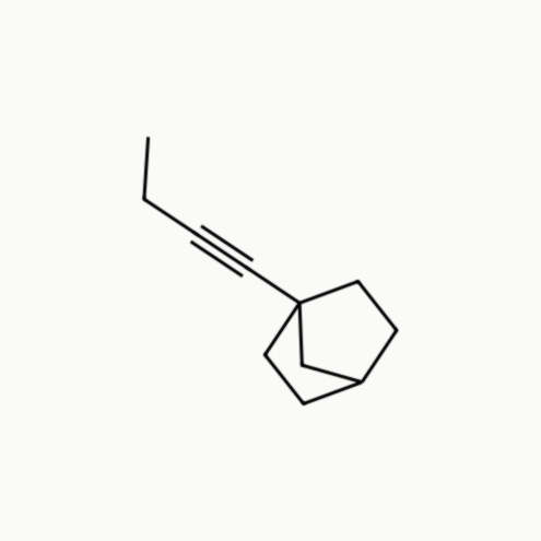 CCC#CC12CCC(CC1)C2